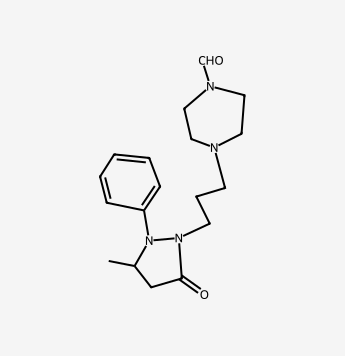 CC1CC(=O)N(CCCN2CCN(C=O)CC2)N1c1ccccc1